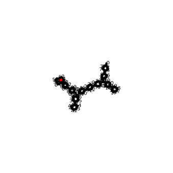 Cc1ccc(-c2ccc(N(c3ccc(-c4ccccc4)cc3)c3ccc(-c4ccc(-c5ccc(N(c6ccc(-c7ccccc7)cc6)c6ccc(-c7ccc(C89CC%10CC(CC(C%10)C8)C9)cc7)cc6)cc5)cc4)cc3)cc2)cc1